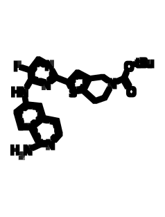 CC(C)(C)OC(=O)N1CCc2sc(-c3ncc(F)c(Nc4ccc5c(N)nccc5c4)n3)cc2C1